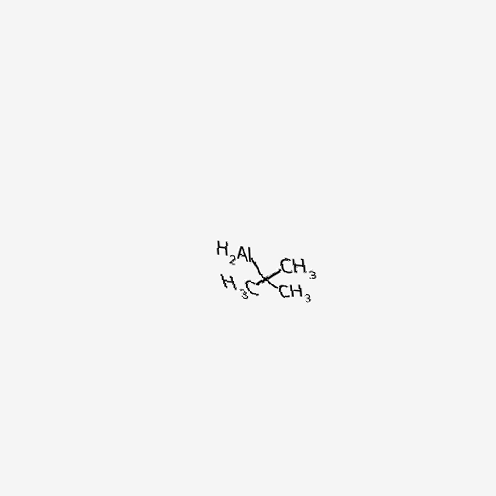 C[C](C)(C)[AlH2]